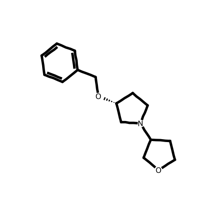 c1ccc(CO[C@@H]2CCN(C3CCOC3)C2)cc1